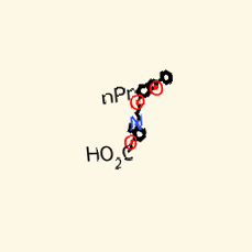 CCCc1cc2cc(-c3ccccc3)oc2cc1OCCCn1ccc2c(OCC(=O)O)cccc21